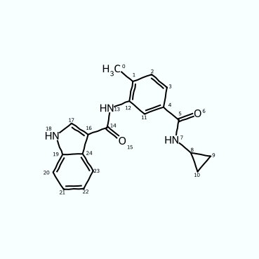 Cc1ccc(C(=O)NC2CC2)cc1NC(=O)c1c[nH]c2ccccc12